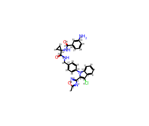 Cc1nc(-c2c(Cl)c3ccccc3n2-c2ccc(CNC(=O)C3(NC(=O)c4cccc(N)c4)CC3)cc2)no1